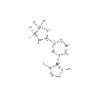 Cc1ccc(C)n1-c1cccc(B2OC(C)(C)C(C)(C)O2)c1